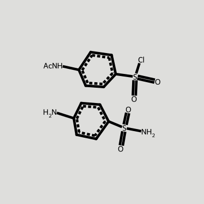 CC(=O)Nc1ccc(S(=O)(=O)Cl)cc1.Nc1ccc(S(N)(=O)=O)cc1